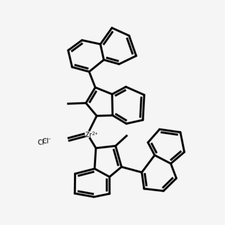 [CH2]=[Zr+2]([CH]1C(C)=C(c2cccc3ccccc23)c2ccccc21)[CH]1C(C)=C(c2cccc3ccccc23)c2ccccc21.[Cl-].[Cl-]